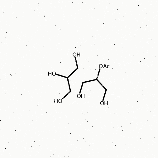 CC(=O)OC(CO)CO.OCC(O)CO